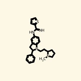 CN1CCCC1CCN1c2ccc(NC(=N)c3cccs3)cc2CC1c1ccccc1